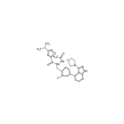 CC(=O)N[C@@H]1CCN(c2n[nH]c3nccc(-c4ccc(CNC(=O)c5nc(C(C)C)no5)c(F)c4)c23)C1